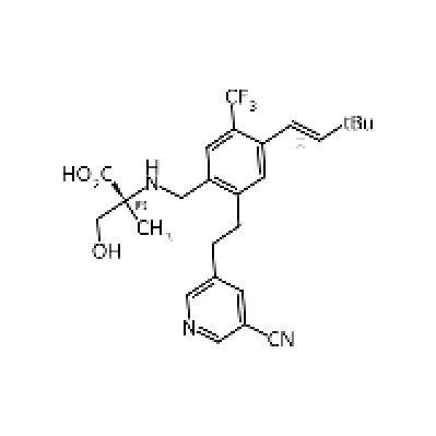 CC(C)(C)/C=C/c1cc(CCc2cncc(C#N)c2)c(CN[C@](C)(CO)C(=O)O)cc1C(F)(F)F